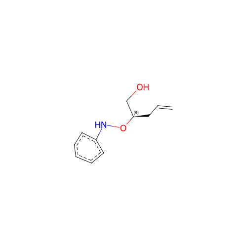 C=CC[C@H](CO)ONc1ccccc1